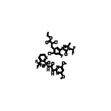 CCOC(=O)C(Cl)Cc1cc(-n2nc(C)n(C(F)F)c2=O)c(F)cc1Cl.COc1cc(OC)nc(NC(=O)NS(=O)(=O)c2ncccc2C(F)(F)F)n1